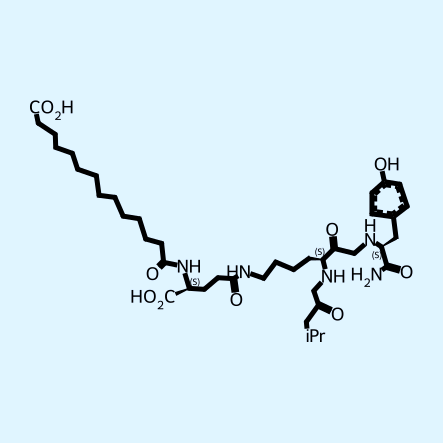 CC(C)CC(=O)CN[C@@H](CCCCNC(=O)CC[C@H](NC(=O)CCCCCCCCCCCCC(=O)O)C(=O)O)C(=O)CN[C@@H](Cc1ccc(O)cc1)C(N)=O